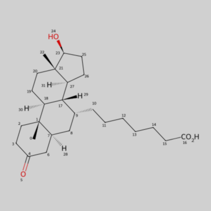 C[C@]12CCC(=O)C[C@@H]1C[C@@H](CCCCCCC(=O)O)[C@@H]1[C@@H]2CC[C@]2(C)[C@@H](O)CC[C@@H]12